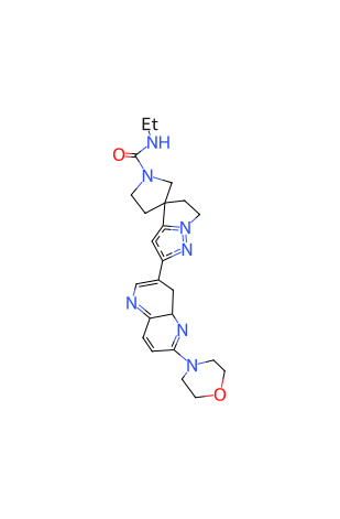 CCNC(=O)N1CCC2(CCn3nc(C4=CN=C5C=CC(N6CCOCC6)=NC5C4)cc32)C1